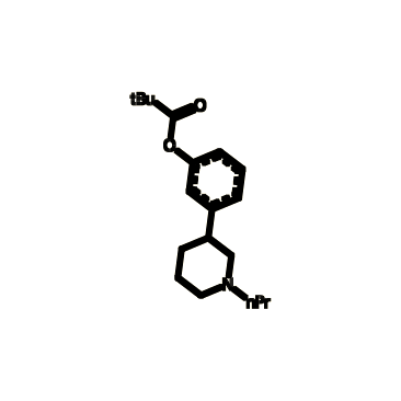 CCCN1CCCC(c2cccc(OC(=O)C(C)(C)C)c2)C1